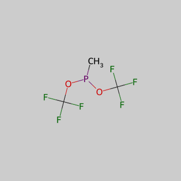 CP(OC(F)(F)F)OC(F)(F)F